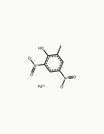 Cc1cc([N+](=O)[O-])cc([N+](=O)[O-])c1O.[Pd+2]